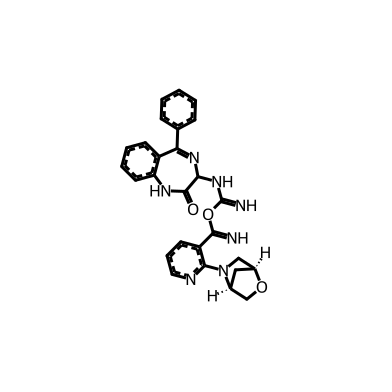 N=C(NC1N=C(c2ccccc2)c2ccccc2NC1=O)OC(=N)c1cccnc1N1C[C@@H]2C[C@H]1CO2